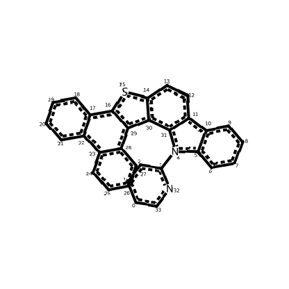 c1ccc(-n2c3ccccc3c3ccc4sc5c6ccccc6c6ccccc6c5c4c32)nc1